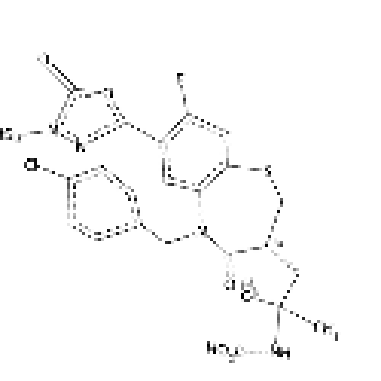 CC(C)(C[C@H]1CSc2cc(F)c(-c3nn(C(C)(C)C)c(=O)o3)cc2N(Cc2ccc(Cl)cc2)C1=O)NC(=O)O